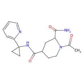 CC(=O)N1CC[C](C(=O)NC2(c3ccccn3)CC2)CC1C(N)=O